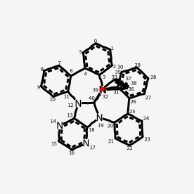 c1ccc2c(c1)-c1ccccc1N1c3nccnc3N3c4ccccc4-c4ccccc4N4c5ccccc5N2C413